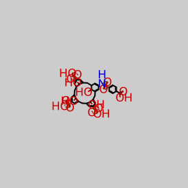 O=C(O)c1ccc(S(=O)(=O)NC2=CC3CC4=CC(S(=O)(=O)O)=CC(CC5C=C(S(=O)(=O)O)C=C(CC6C=C(S(=O)(=O)O)C=C(CC(=C2)C3O)C6O)C5O)C4O)cc1